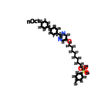 CCCCCCCCc1ccc(-c2ccc(-c3ncc(OCCCCCCCCOS(=O)(=O)c4ccc(C)cc4)cn3)cc2)cc1